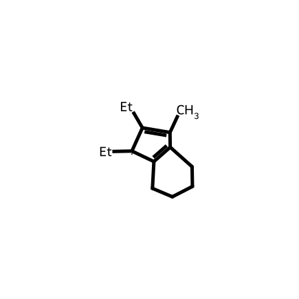 CC[C]1C(CC)=C(C)C2=C1CCCC2